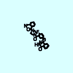 N#Cc1ccccc1C(=O)N1CCN(C(=O)c2cc(Oc3n[nH]c(=O)c4ccccc34)ccc2F)CC1